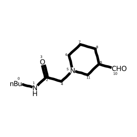 CCCCNC(=O)CN1CCCC(C=O)C1